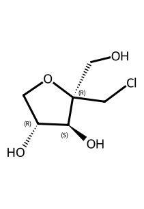 OC[C@@]1(CCl)OC[C@@H](O)[C@@H]1O